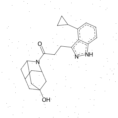 O=C(CCc1n[nH]c2cccc(C3CC3)c12)N1C2CC3CC1CC(O)(C3)C2